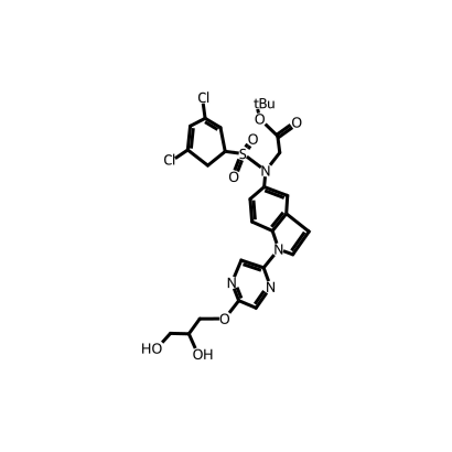 CC(C)(C)OC(=O)CN(c1ccc2c(ccn2-c2cnc(OCC(O)CO)cn2)c1)S(=O)(=O)C1C=C(Cl)C=C(Cl)C1